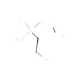 CCCCCCCCCCCC[N+](CCCC)(CCCC)CCCC.O=S(=O)([O-])O